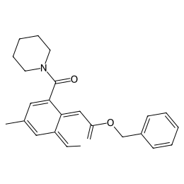 C=C(/C=c1/c(C(=O)N2CCCCC2)cc(C)c/c1=C/C)OCc1ccccc1